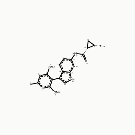 COc1nc(C)nc(OC)c1-c1c[nH]c2nc(NC(=O)[C@@H]3C[C@@H]3F)ccc12